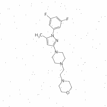 Cc1cc(N2CCN(CCN3CCOCC3)CC2)nn1-c1cc(F)cc(F)c1